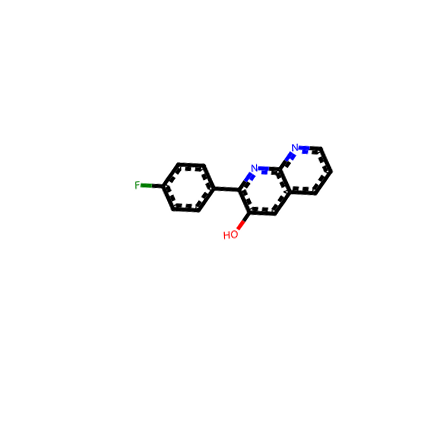 Oc1cc2cccnc2nc1-c1ccc(F)cc1